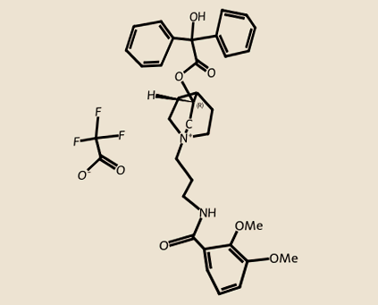 COc1cccc(C(=O)NCCC[N+]23CCC(CC2)[C@@H](OC(=O)C(O)(c2ccccc2)c2ccccc2)C3)c1OC.O=C([O-])C(F)(F)F